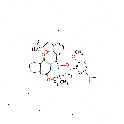 COc1ncc(C2CCC2)cc1CO[C@H]1[C@H](C(C)(C)C)[C@@H](C(=O)O)N(C(=O)C2CCCCC2)[C@H]1c1cccc2c1OC(C)(C)C2